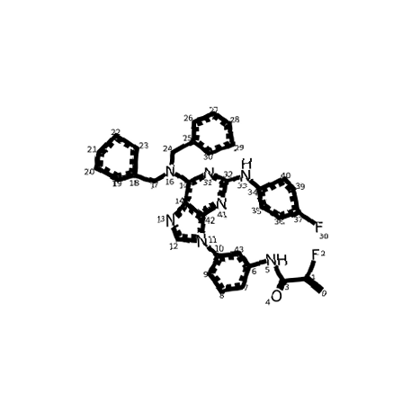 C=C(F)C(=O)Nc1cccc(-n2cnc3c(N(Cc4ccccc4)Cc4ccccc4)nc(Nc4ccc(F)cc4)nc32)c1